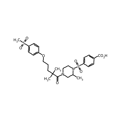 CC1CN(C(=O)C(C)(C)CCCOc2ccc(S(C)(=O)=O)cc2)CCN1S(=O)(=O)c1ccc(C(=O)O)cc1